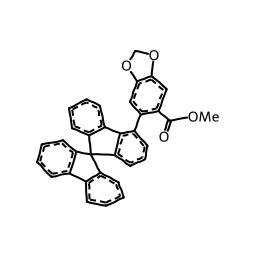 COC(=O)c1cc2c(cc1-c1cccc3c1-c1ccccc1C31c3ccccc3-c3ccccc31)OCO2